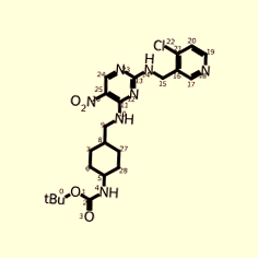 CC(C)(C)OC(=O)NC1CCC(CNc2nc(NCc3cnccc3Cl)ncc2[N+](=O)[O-])CC1